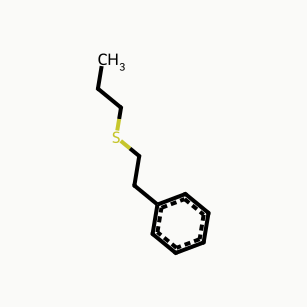 CCCSCCc1ccccc1